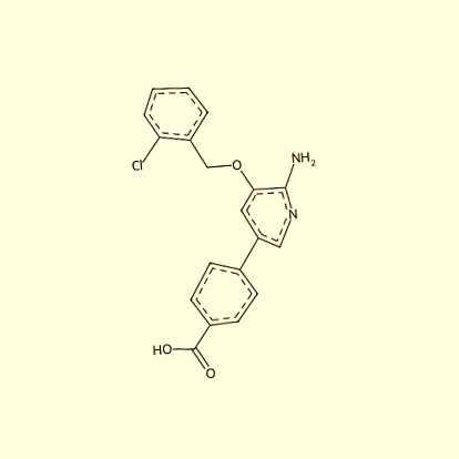 Nc1ncc(-c2ccc(C(=O)O)cc2)cc1OCc1ccccc1Cl